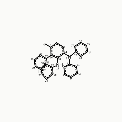 Cc1ccc(N(c2ccccc2)c2ccccc2)c(Nc2ccccc2)c1-c1ccccc1